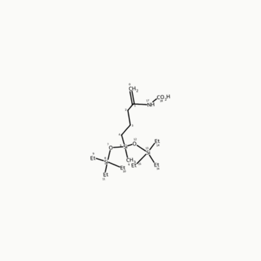 C=C(CCC[Si](C)(O[Si](CC)(CC)CC)O[Si](CC)(CC)CC)NC(=O)O